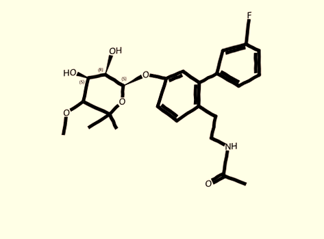 COC1[C@@H](O)[C@@H](O)[C@@H](Oc2ccc(CCNC(C)=O)c(-c3cccc(F)c3)c2)OC1(C)C